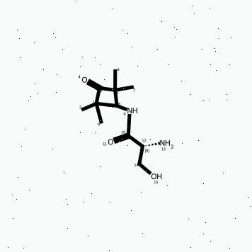 CC1(C)C(=O)C(C)(C)C1NC(=O)[C@H](N)CO